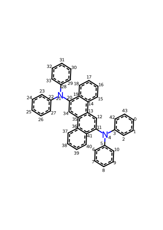 c1ccc(N(c2ccccc2)c2cc3c4ccccc4c(N(c4ccccc4)c4ccccc4)cc3c3ccccc23)cc1